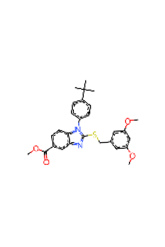 COC(=O)c1ccc2c(c1)nc(SCc1cc(OC)cc(OC)c1)n2-c1ccc(C(C)(C)C)cc1